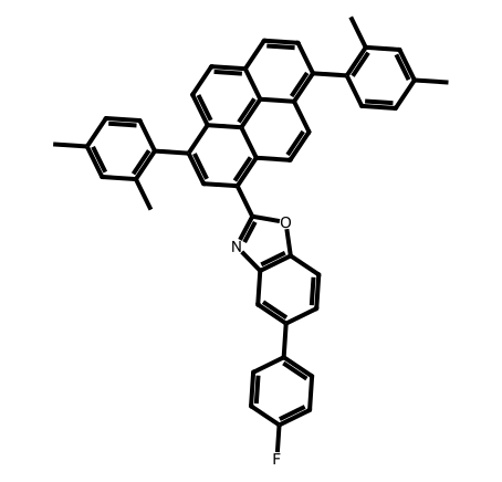 Cc1ccc(-c2ccc3ccc4c(-c5ccc(C)cc5C)cc(-c5nc6cc(-c7ccc(F)cc7)ccc6o5)c5ccc2c3c54)c(C)c1